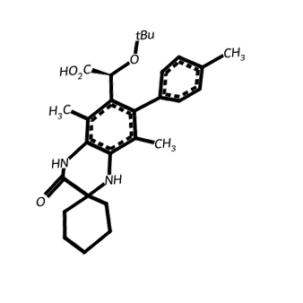 Cc1ccc(-c2c(C)c3c(c(C)c2[C@H](OC(C)(C)C)C(=O)O)NC(=O)C2(CCCCC2)N3)cc1